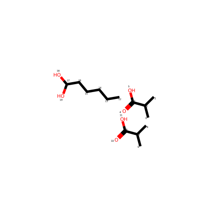 CC(C)C(=O)O.CC(C)C(=O)O.CCCCCC(O)O